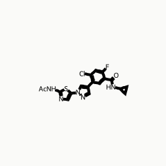 CC(=O)Nc1ncc(-n2cc(-c3cc(C(=O)NC4CC4)c(F)cc3Cl)cn2)s1